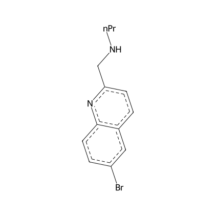 CCCNCc1ccc2cc(Br)ccc2n1